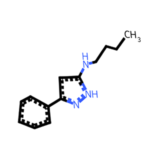 CCCCNc1cc(-c2ccccc2)n[nH]1